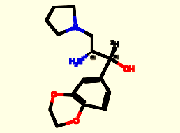 [2H][C@@](O)(c1ccc2c(c1)OCCO2)[C@H](N)CN1CCCC1